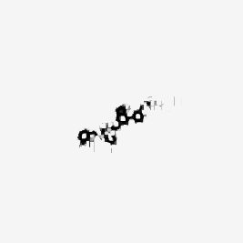 O=C(O)NCc1cccc(-c2cc(CC(=O)N3C[C@H](F)C[C@H]3C(=O)NCc3cccc(Cl)c3F)cc3ccoc23)c1